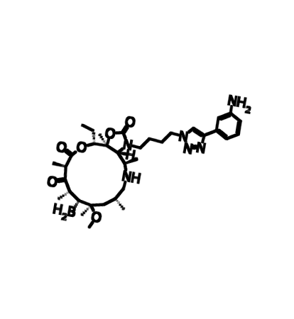 B[C@@H]1[C@H](C)C(=O)[C@@H](C)C(=O)O[C@H](CC)[C@@]2(C)OC(=O)N(CCCCn3cc(-c4cccc(N)c4)nn3)[C@@H]2[C@@H](C)NC[C@H](C)C[C@@]1(C)OC